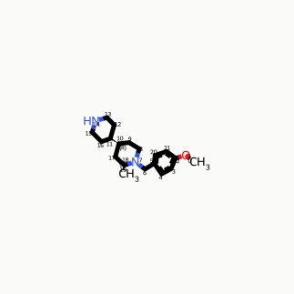 COc1ccc(CN2CC[C@@H](C3CCNCC3)C[C@H]2C)cc1